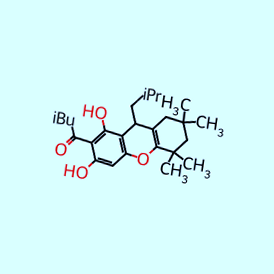 CCC(C)C(=O)c1c(O)cc2c(c1O)C(CC(C)C)C1=C(O2)C(C)(C)CC(C)(C)C1